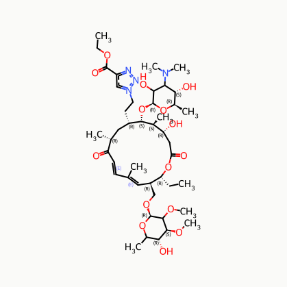 CCOC(=O)c1cn(CC[C@H]2C[C@@H](C)C(=O)/C=C/C(C)=C/[C@H](CO[C@@H]3OC(C)[C@@H](O)[C@H](OC)C3OC)[C@@H](CC)OC(=O)C[C@@H](O)[C@H](C)[C@H]2O[C@@H]2O[C@H](C)[C@@H](O)C(N(C)C)C2O)nn1